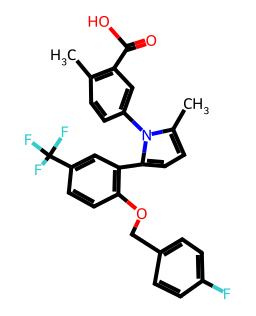 Cc1ccc(-n2c(C)ccc2-c2cc(C(F)(F)F)ccc2OCc2ccc(F)cc2)cc1C(=O)O